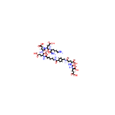 NCCCCC(NC(=O)C(CCC(=O)O)NC(=O)C(CCC(=O)O)NC(=O)C(CCC(=O)O)NC(=O)CCCCCNC(=O)C1CCC(CNC(=O)CCC(NC(=O)NC(CCC(=O)O)C(=O)O)C(=O)O)CC1)C(N)=O